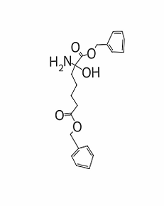 NC(O)(CCCCC(=O)OCc1ccccc1)C(=O)OCc1ccccc1